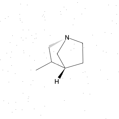 CC1C[N@]2CC[C@H]1C2